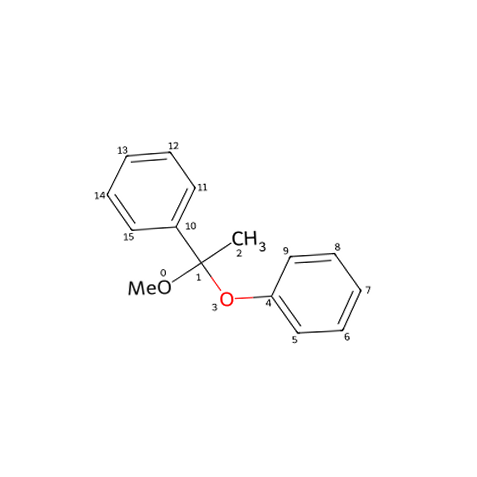 COC(C)(Oc1ccccc1)c1ccccc1